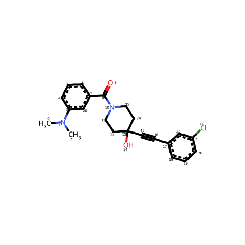 CN(C)c1cccc(C(=O)N2CCC(O)(C#Cc3cccc(Cl)c3)CC2)c1